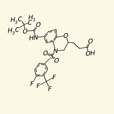 CC(C)(C)OC(=O)Nc1ccc2c(c1)N(S(=O)(=O)c1ccc(F)c(C(F)(F)F)c1)CC(CCC(=O)O)O2